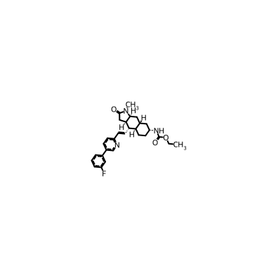 CCOC(=O)N[C@@H]1CC[C@@H]2[C@@H](C1)C[C@H]1[C@H](CC(=O)N1C)[C@H]2/C=C/c1ccc(-c2cccc(F)c2)cn1